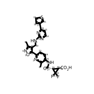 Cc1nc(-c2onc(C)c2CNc2nccc(-c3ccsc3)n2)ccc1NC(=O)[C@@H]1[C@@H](C(=O)O)C1(F)F